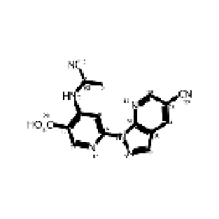 C[C@H](C#N)Nc1cc(-n2ncc3cc(C#N)cnc32)ncc1C(=O)O